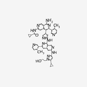 Cc1ccncc1-c1cc2cc(Nc3cc(C4CC4)n(CCO)n3)ncc2c(Nn2cc(-c3c(-c4cnccc4C)nc(N)c4cnc(NC(=O)C5CC5)cc34)cn2)n1